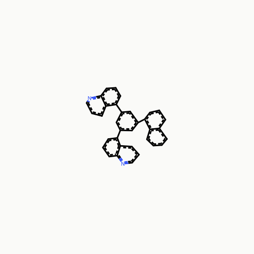 c1ccc2c(-c3cc(-c4cccc5ncccc45)cc(-c4cccc5ncccc45)c3)cccc2c1